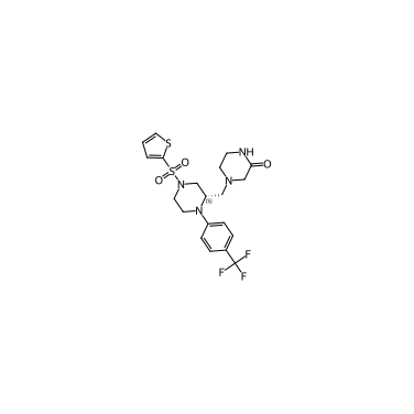 O=C1CN(C[C@H]2CN(S(=O)(=O)c3cccs3)CCN2c2ccc(C(F)(F)F)cc2)CCN1